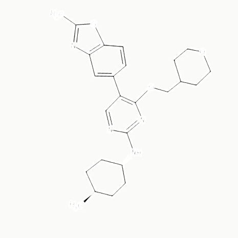 Cc1nc2cc(-c3cnc(N[C@H]4CC[C@H](C)CC4)nc3OCC3CCOCC3)ccc2o1